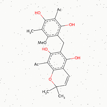 COc1c(C)c(O)c(C(C)=O)c(O)c1Cc1c(O)c2c(c(C(C)=O)c1O)OC(C)(C)C=C2